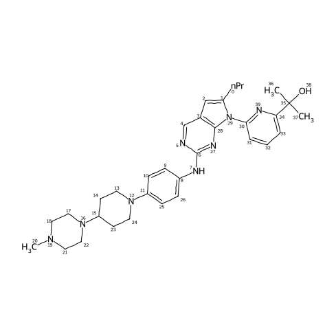 CCCc1cc2cnc(Nc3ccc(N4CCC(N5CCN(C)CC5)CC4)cc3)nc2n1-c1cccc(C(C)(C)O)n1